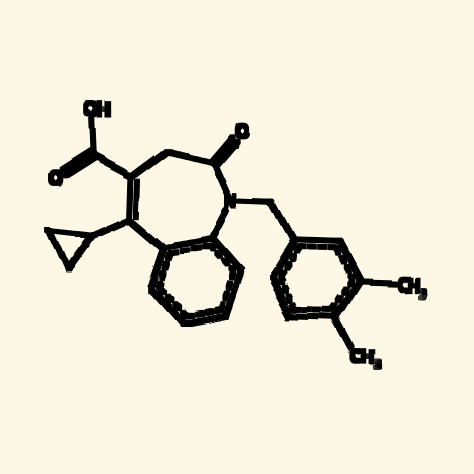 Cc1ccc(CN2C(=O)CC(C(=O)O)=C(C3CC3)c3ccccc32)cc1C